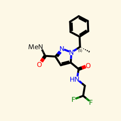 CNC(=O)c1cc(C(=O)NCC(F)F)n([C@@H](C)c2ccccc2)n1